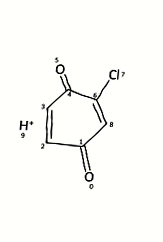 O=C1C=CC(=O)C(Cl)=C1.[H+]